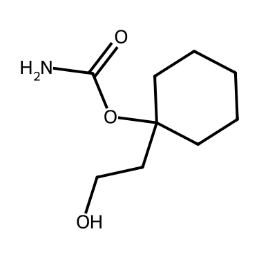 NC(=O)OC1(CCO)CCCCC1